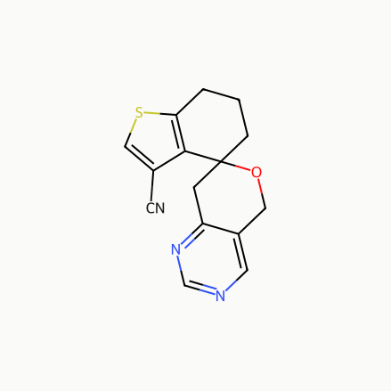 N#Cc1csc2c1C1(CCC2)Cc2ncncc2CO1